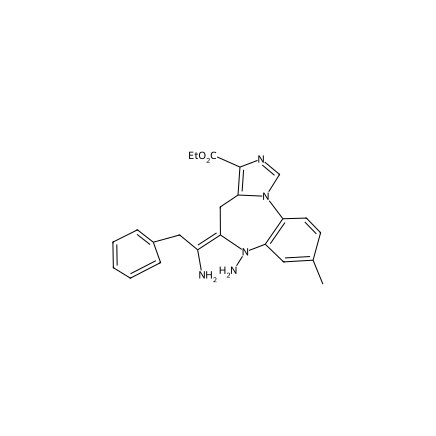 CCOC(=O)c1ncn2c1C/C(=C(/N)Cc1ccccc1)N(N)c1cc(C)ccc1-2